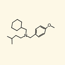 COc1ccc(CN(CCC(C)C)CC2CCCCC2)cc1